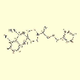 NC1=NC2(CCN(C(=O)OCCc3ccccn3)CC2)Nc2cccc(F)c21